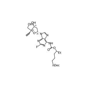 C#C[C@]1(CO)O[C@@H](n2cnc3c(NC(=O)OC(CC)CCCCCCCCCCCCC)nc(F)nc32)C[C@@H]1O